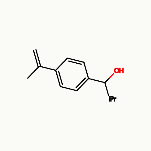 C=C(C)c1ccc(C(O)C(C)C)cc1